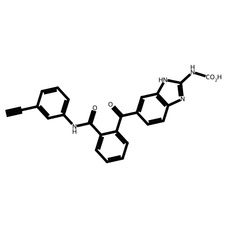 C#Cc1cccc(NC(=O)c2ccccc2C(=O)c2ccc3nc(NC(=O)O)[nH]c3c2)c1